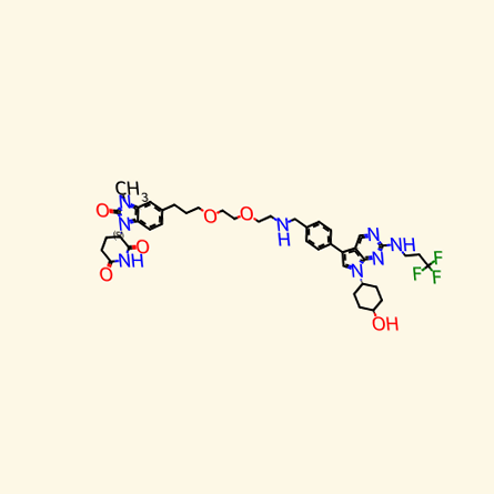 Cn1c(=O)n([C@H]2CCC(=O)NC2=O)c2ccc(CCCOCCOCCNCc3ccc(-c4cn([C@H]5CC[C@H](O)CC5)c5nc(NCCC(F)(F)F)ncc45)cc3)cc21